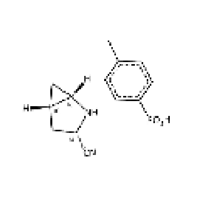 Cc1ccc(S(=O)(=O)O)cc1.N#C[C@@H]1C[C@@H]2C[C@@H]2N1